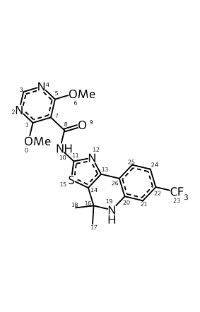 COc1ncnc(OC)c1C(=O)Nc1nc2c(s1)C(C)(C)Nc1cc(C(F)(F)F)ccc1-2